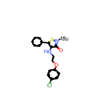 CC(C)(C)n1sc(-c2ccccc2)c(NCCOc2ccc(Cl)cc2)c1=O